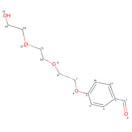 O=Cc1ccc(OCCOCCOCCO)cc1